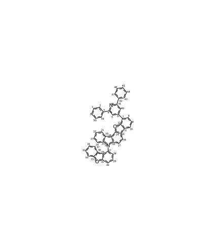 c1ccc(-c2cc(-c3cccc4c3oc3c4ccc4c3c3ccccc3n4-c3cccc4oc5ccccc5c34)cc(-c3ccccc3)n2)cc1